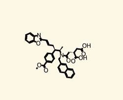 COC(=O)c1ccc([C@@H](CC=Cc2nc3ccccc3o2)[C@@H](C)N(Cc2ccc3ccccc3c2)C(=O)C[C@H](CC(=O)O)C(=O)O)cc1